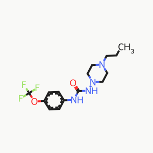 CCCN1CCN(NC(=O)Nc2ccc(OC(F)(F)F)cc2)CC1